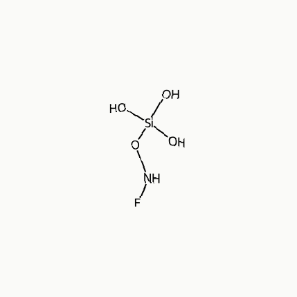 O[Si](O)(O)ONF